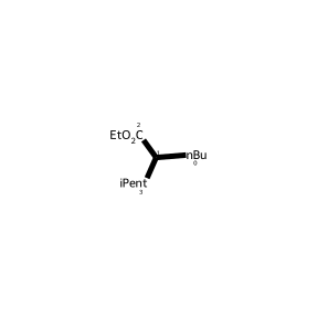 CCCCC(C(=O)OCC)C(C)CCC